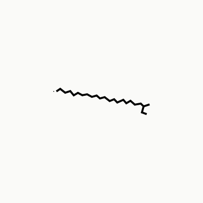 [CH2]CCCCCCCCCCCCCCCCCCCC(C)CC